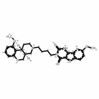 COc1ccc2sc3c(=O)n(CCCCN4CC[C@H]5c6c(OC)cccc6OC[C@@H]5C4)c(=O)[nH]c3c2n1